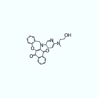 CN(CCO)C1=CCC(N2Cc3ccccc3OC3=C2C(=O)c2ccccc2C3=O)C=N1